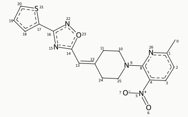 Cc1ccc([N+](=O)[O-])c(N2CCC(=Cc3nc(-c4cccs4)no3)CC2)n1